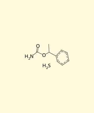 CC(OC(N)=O)c1ccccc1.S